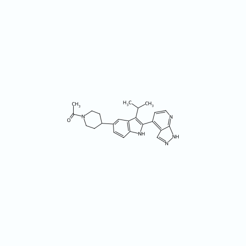 CC(=O)N1CCC(c2ccc3[nH]c(-c4ccnc5[nH]ncc45)c(C(C)C)c3c2)CC1